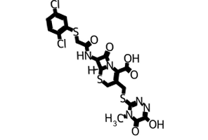 Cn1c(SCC2=C(C(=O)O)N3C(=O)C(NC(=O)CSc4cc(Cl)ccc4Cl)[C@@H]3SC2)nnc(O)c1=O